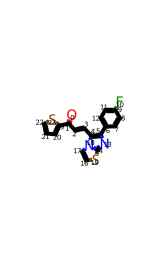 O=C(C=Cc1c(-c2ccc(F)cc2)nc2sccn12)c1cccs1